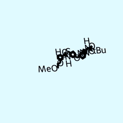 COCCOc1cccc(C(=O)Nc2cc(Oc3ccc4nc(NC(=O)OC(C)(C)C)cn4n3)ccc2C)c1